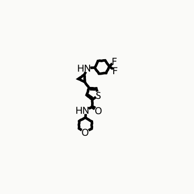 O=C(NC1CCOCC1)c1cc(C2CC2NC2CCC(F)(F)CC2)cs1